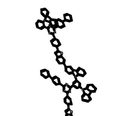 c1ccc(-c2ccc(-c3nc(-c4ccc(-c5cc6ccccc6o5)cc4)nc(-c4cc(-n5c6ccccc6c6ccccc65)cc(-n5c6ccccc6c6cc(-c7ccc8cc(-c9ccc(-c%10nc(-c%11ccc(-c%12ccccc%12)cc%11)nc(-c%11ccccc%11-n%11c%12ccccc%12c%12ccccc%12%11)n%10)cc9)oc8c7)ccc65)c4)n3)cc2)cc1